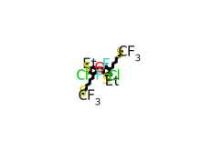 CCSc1cc(Oc2cc(SCC)c(Cl)c(CCCCCSC(F)(F)F)c2F)c(F)c(CCCCCSC(F)(F)F)c1Cl